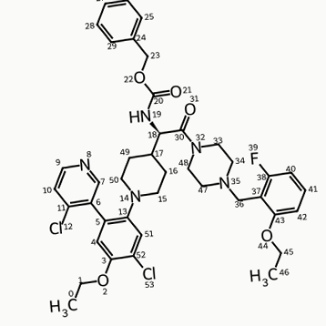 CCOc1cc(-c2cnccc2Cl)c(N2CCC([C@@H](NC(=O)OCc3ccccc3)C(=O)N3CCN(Cc4c(F)cccc4OCC)CC3)CC2)cc1Cl